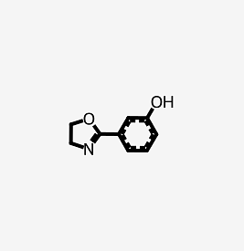 Oc1cccc(C2=NCCO2)c1